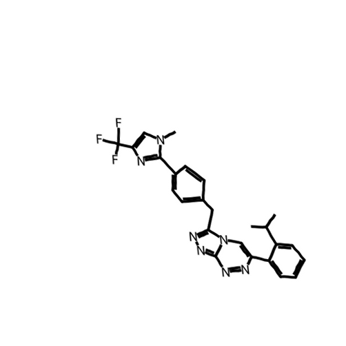 CC(C)c1ccccc1-c1cn2c(Cc3ccc(-c4nc(C(F)(F)F)cn4C)cc3)nnc2nn1